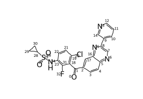 O=C(c1ccc2ncc(-c3cccnc3)nc2c1)c1c(Cl)ccc(NS(=O)(=O)C2CC2)c1F